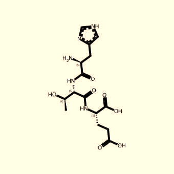 C[C@@H](O)[C@H](NC(=O)[C@@H](N)Cc1c[nH]cn1)C(=O)N[C@@H](CCC(=O)O)C(=O)O